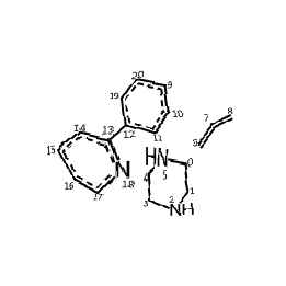 C1CNCCN1.C=C=C.c1ccc(-c2ccccn2)cc1